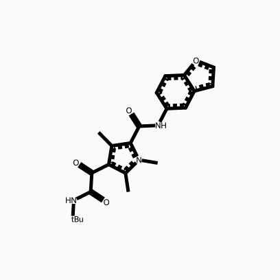 Cc1c(C(=O)C(=O)NC(C)(C)C)c(C)n(C)c1C(=O)Nc1ccc2occc2c1